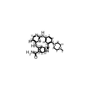 CN1CCN(c2ccc(Nc3ncc(F)c(NC4C5C=CC(C5)C4C(N)=O)n3)cc2C#N)CC1